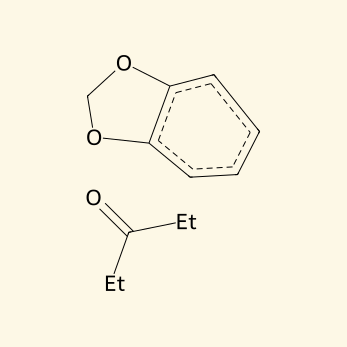 CCC(=O)CC.c1ccc2c(c1)OCO2